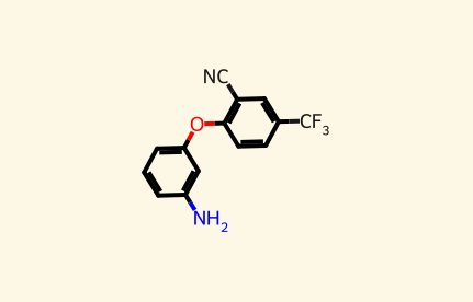 N#Cc1cc(C(F)(F)F)ccc1Oc1cccc(N)c1